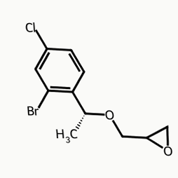 C[C@@H](OCC1CO1)c1ccc(Cl)cc1Br